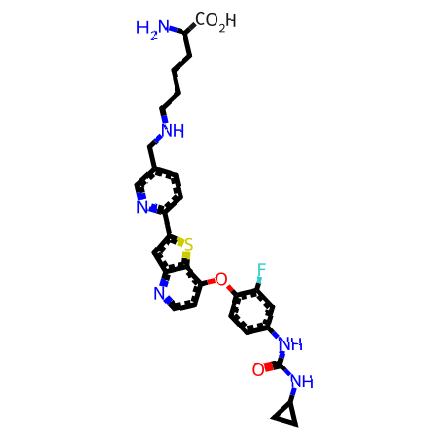 NC(CCCCNCc1ccc(-c2cc3nccc(Oc4ccc(NC(=O)NC5CC5)cc4F)c3s2)nc1)C(=O)O